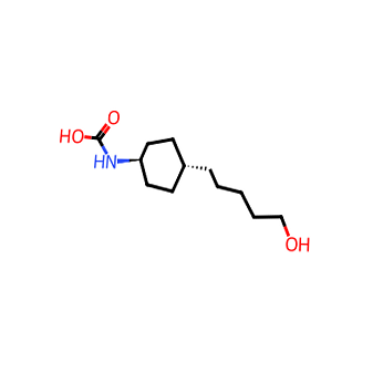 O=C(O)N[C@H]1CC[C@H](CCCCCO)CC1